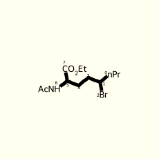 CCCC(Br)CCC(NC(C)=O)C(=O)OCC